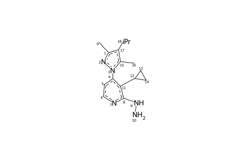 Cc1nn(-c2ccnc(NN)c2C2CC2)c(C)c1C(C)C